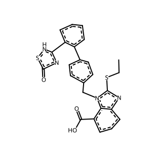 CCSc1nc2cccc(C(=O)O)c2n1Cc1ccc(-c2ccccc2-c2nc(=O)s[nH]2)cc1